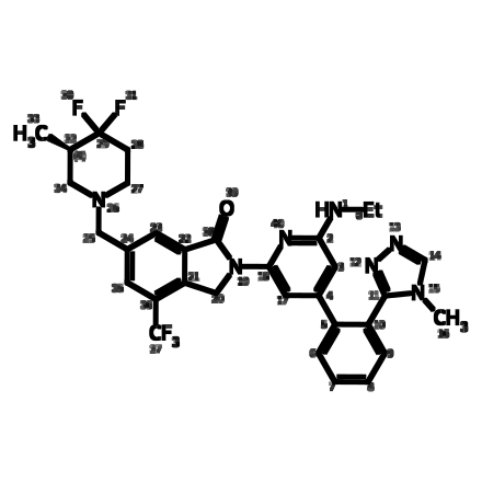 CCNc1cc(-c2ccccc2-c2nncn2C)cc(N2Cc3c(cc(CN4CCC(F)(F)[C@H](C)C4)cc3C(F)(F)F)C2=O)n1